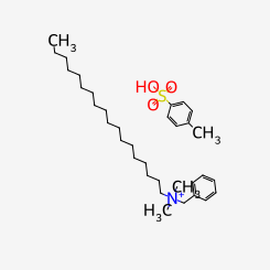 CCCCCCCCCCCCCCCCCC[N+](C)(C)Cc1ccccc1.Cc1ccc(S(=O)(=O)O)cc1